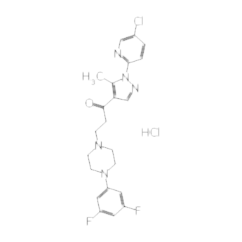 Cc1c(C(=O)CCN2CCN(c3cc(F)cc(F)c3)CC2)cnn1-c1ccc(Cl)cn1.Cl